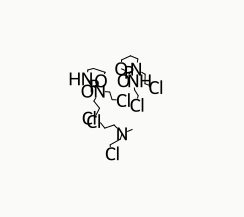 CN(CCCl)CCCl.O=P1(N(CCCl)CCCl)NCCCO1.O=P1(NCCCl)OCCCN1CCCl